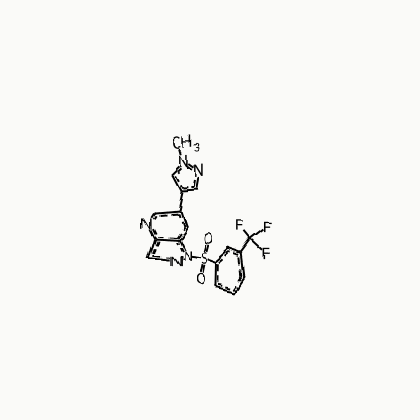 Cn1cc(-c2cnc3cnn(S(=O)(=O)c4cccc(C(F)(F)F)c4)c3c2)cn1